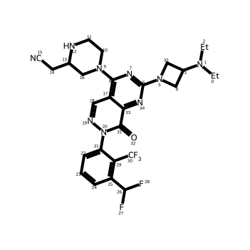 CCN(CC)C1CN(c2nc(N3CCNC(CC#N)C3)c3cnn(-c4cccc(C(F)F)c4C(F)(F)F)c(=O)c3n2)C1